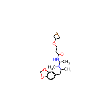 CC(Cc1ccc2c(c1)OCO2)N(C)C(C)NC(=O)CCOC1CSC1